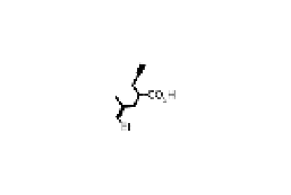 C#CCC(CC(C)=CCC)C(=O)O